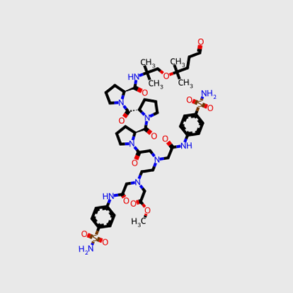 COC(=O)CN(CCN(CC(=O)Nc1ccc(S(N)(=O)=O)cc1)CC(=O)N1CCC[C@H]1C(=O)N1CCC[C@H]1C(=O)N1CCC[C@H]1C(=O)NC(C)(C)COC(C)(C)CCC=O)CC(=O)Nc1ccc(S(N)(=O)=O)cc1